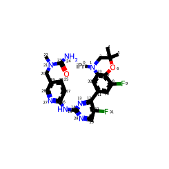 CC(C)N1CC(C)(C)Oc2c(F)cc(-c3nc(Nc4ccc(CN(C)C(N)=O)cn4)ncc3F)cc21